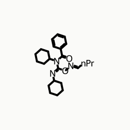 CCCC=NOC(=NC1CCCCC1)N(C(=O)c1ccccc1)C1CCCCC1